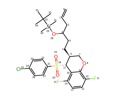 C=CCC(CC[C@H]1COc2c(F)ccc(F)c2[C@@H]1S(=O)(=O)c1ccc(Cl)cc1)O[Si](C)(C)C(C)(C)C